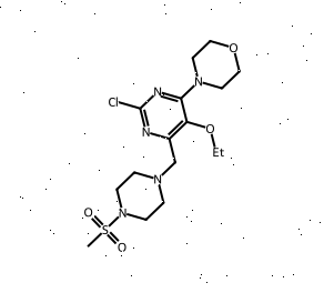 CCOc1c(CN2CCN(S(C)(=O)=O)CC2)nc(Cl)nc1N1CCOCC1